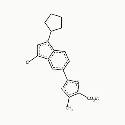 CCOC(=O)c1sc(-c2ccc3c(c2)c(Cl)cn3C2CCCC2)nc1C